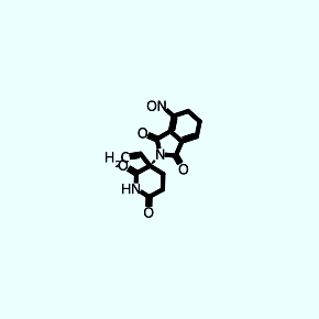 C=C[C@@]1(N2C(=O)C3=CCCC(N=O)=C3C2=O)CCC(=O)NC1=O